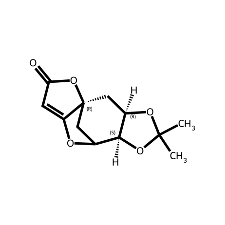 CC1(C)O[C@@H]2C[C@]34CC(OC3=CC(=O)O4)[C@@H]2O1